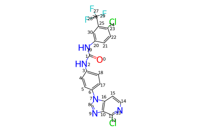 O=C(Nc1ccc(-n2cnc3c(Cl)nccc32)cc1)Nc1ccc(Cl)c(C(F)(F)F)c1